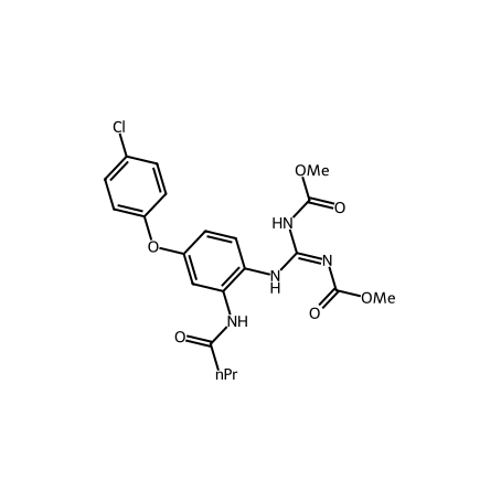 CCCC(=O)Nc1cc(Oc2ccc(Cl)cc2)ccc1NC(=NC(=O)OC)NC(=O)OC